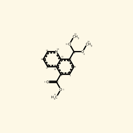 COC(=O)c1ccc(C(OC)OC)c2ncccc12